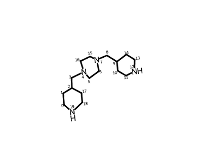 C1CC(CN2CCN(CC3CCNCC3)CC2)CCN1